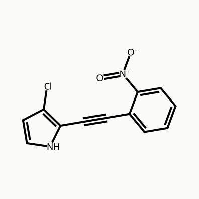 O=[N+]([O-])c1ccccc1C#Cc1[nH]ccc1Cl